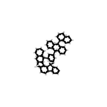 CC1(C)c2ccccc2-c2ccc3sc4cc5ccccc5c(-c5cccc(-c6c7ccccc7c(-c7cccc8ccccc78)c7ccccc67)c5)c4c3c21